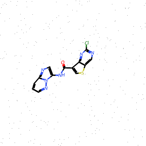 O=C(Nc1cnc2cccnn12)c1csc2cnc(Cl)nc12